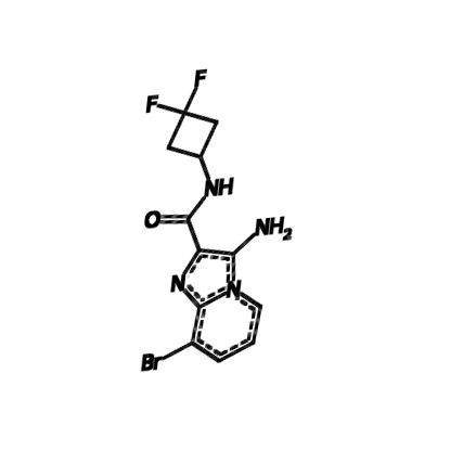 Nc1c(C(=O)NC2CC(F)(F)C2)nc2c(Br)cccn12